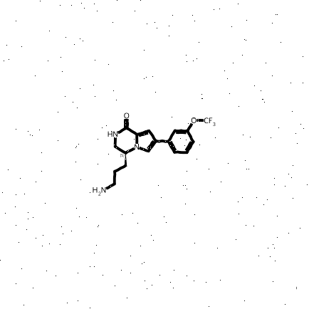 NCCC[C@H]1CNC(=O)c2cc(-c3cccc(OC(F)(F)F)c3)cn21